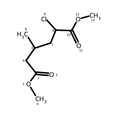 COC(=O)CC(C)CC(Cl)C(=O)OC